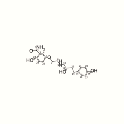 NC(=O)c1cc(OCCNCC(O)CCc2ccc(O)cc2)ccc1O